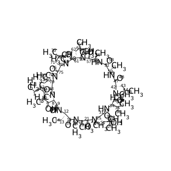 C/C=C/C[C@@H](C)[C@@H](O)[C@H]1C(=O)N[C@@H](CC)C(=O)N(C)[C@H](C)C(=O)N(C)[C@@H](CC(C)(C)O)C(=O)NC(C(C)C)C(=O)N(C)[C@@H](CC(C)C)C(=O)N[C@@H](C)C(=O)N[C@H](C)C(=O)N(C)[C@@H](CC(C)C)C(=O)N(C)[C@@H](CC(C)C)C(=O)N(C)[C@@H](C(C)C)C(=O)N1C